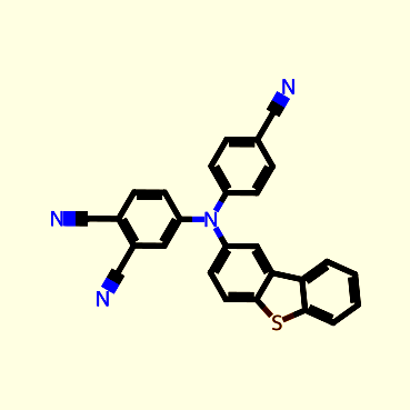 N#Cc1ccc(N(c2ccc(C#N)c(C#N)c2)c2ccc3sc4ccccc4c3c2)cc1